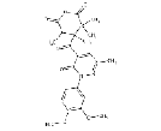 COc1ccc(-n2nc(C)cc(C(=O)C3(C)C(C)C(=O)OC(=O)C3(C)C)c2=O)cc1OC